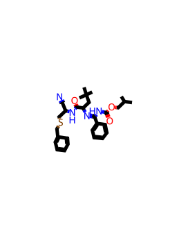 CC(C)COC(=O)NC(=NC(CC(C)(C)C)C(=O)NC(C#N)CSCc1ccccc1)c1ccccc1